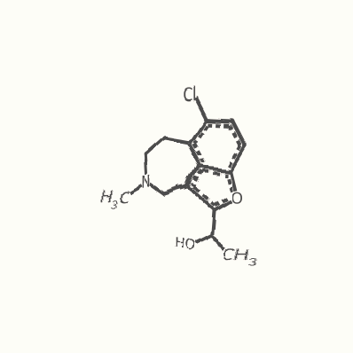 CC(O)c1oc2ccc(Cl)c3c2c1CN(C)CC3